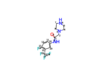 O=C(CN1CCNCC1)Nc1ccc(F)c(C(F)(F)F)c1